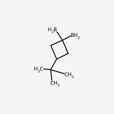 BC1(B)CC(C(C)(C)C)C1